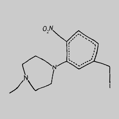 CN1CCN(c2cc(CI)ccc2[N+](=O)[O-])CC1